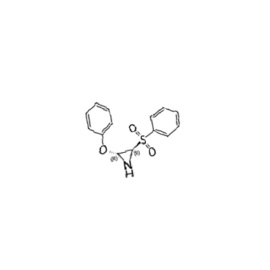 O=S(=O)(c1ccccc1)[C@H]1N[C@@H]1Oc1ccccc1